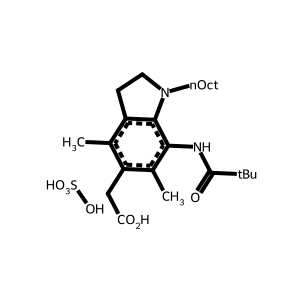 CCCCCCCCN1CCc2c(C)c(CC(=O)O)c(C)c(NC(=O)C(C)(C)C)c21.O=S(=O)(O)O